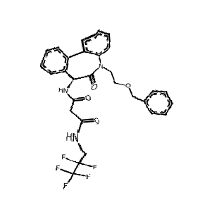 O=C(CC(=O)N[C@@H]1C(=O)N(CCOCc2ccccc2)c2ccccc2-c2ccccc21)NCC(F)(F)C(F)(F)F